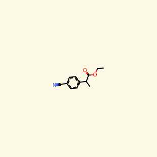 CCOC(=O)C(C)c1ccc(C#N)cc1